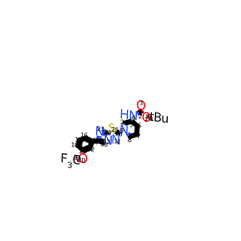 CC(C)(C)OC(=O)NC1CCCN(c2nn3cc(-c4cccc(OC(F)(F)F)c4)nc3s2)C1